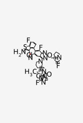 CC(C)[C@H]1N(C(=O)n2cnc(F)n2)C[C@]12CCCN(c1nc(OC[C@@]34CCCN3C[C@H](F)C4)nc3c(F)c(-c4ccc(F)c5sc(N)c(C#N)c45)c(Cl)cc13)C2